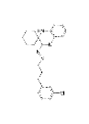 Clc1cccc(CCCN=NC2=Nc3ccccc3NC23CCCCC3)c1